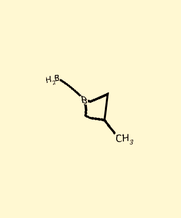 BB1CC(C)C1